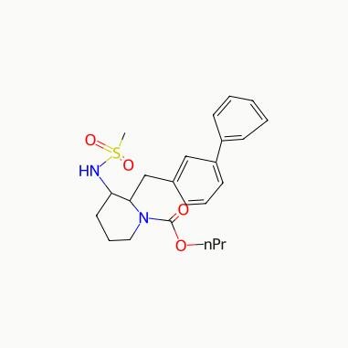 CCCOC(=O)N1CCCC(NS(C)(=O)=O)C1Cc1cccc(-c2ccccc2)c1